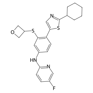 Fc1ccc(Nc2ccc(-c3cnc(C4CCCCC4)s3)c(SC3COC3)c2)nc1